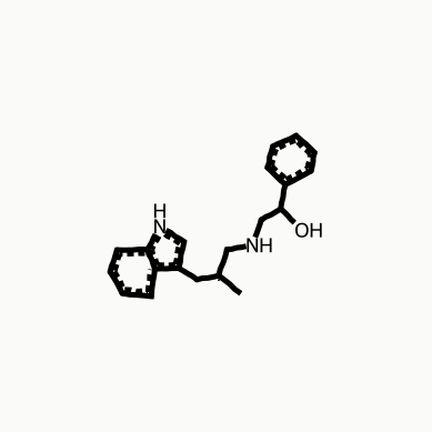 C[C](CNCC(O)c1ccccc1)Cc1c[nH]c2ccccc12